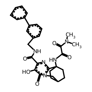 CN(C)C(=O)C(=O)NC12CCC(CC1)Cn1c2nc(C(=O)NCc2cccc(-c3ccccc3)c2)c(O)c1=O